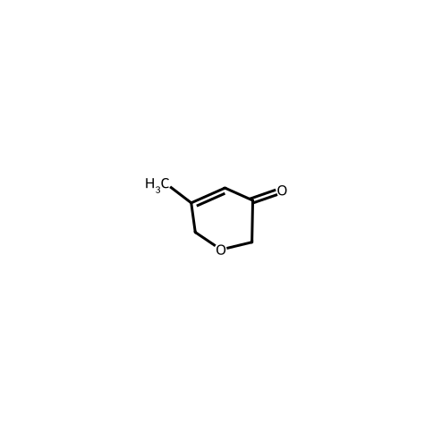 CC1=CC(=O)COC1